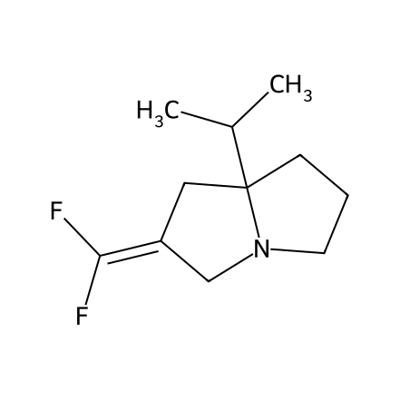 CC(C)C12CCCN1CC(=C(F)F)C2